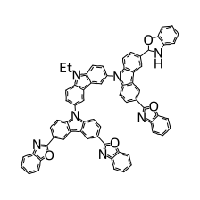 CCn1c2ccc(-n3c4ccc(-c5nc6ccccc6o5)cc4c4cc(-c5nc6ccccc6o5)ccc43)cc2c2cc(-n3c4ccc(-c5nc6ccccc6o5)cc4c4cc(C5Nc6ccccc6O5)ccc43)ccc21